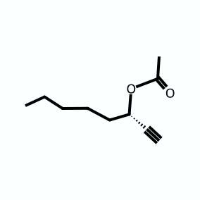 C#C[C@H](CCCCC)OC(C)=O